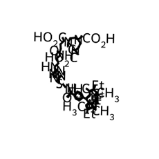 CCC1=C(C)C2=C(c3ccc(C(=O)NCCSc4nnc(NCCNC(=O)CCC(C(=O)O)N5CCN(CC(=O)O)CCN(CC(=O)O)CC5)nn4)cc3)c3c(C)c(CC)c(C)n3[B-](F)(F)[N+]2=C1C